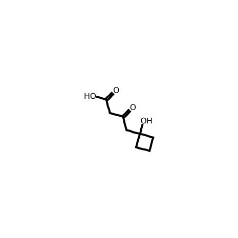 O=C(O)CC(=O)CC1(O)CCC1